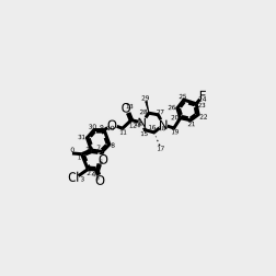 Cc1c(Cl)c(=O)oc2cc(OCC(=O)N3C[C@@H](C)N(Cc4ccc(F)cc4)C[C@@H]3C)ccc12